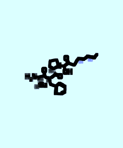 C/C=C/C=C/CC(=O)C(O)N1CCC[C@H]1C(=O)N(Cc1ccccc1)C(=O)[C@@H](N)[C@@H](C)CC